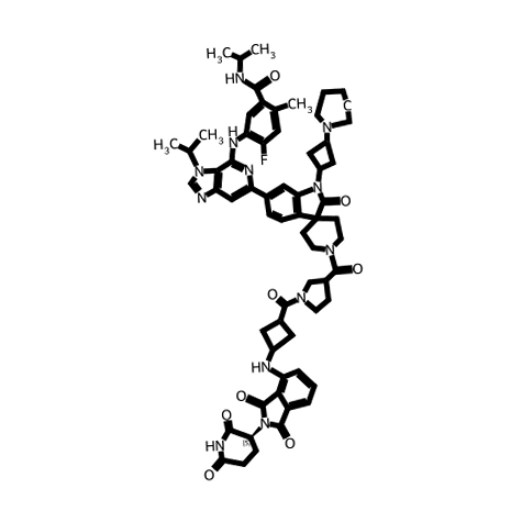 Cc1cc(F)c(Nc2nc(-c3ccc4c(c3)N(C3CC(N5CCCCC5)C3)C(=O)C43CCN(C(=O)C4CCN(C(=O)C5CC(Nc6cccc7c6C(=O)N([C@H]6CCC(=O)NC6=O)C7=O)C5)C4)CC3)cc3ncn(C(C)C)c23)cc1C(=O)NC(C)C